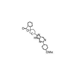 COc1ccc(-c2ncc3nc(C4CCC5(CC4)OC(=O)c4ccccc45)[nH]c3n2)cc1